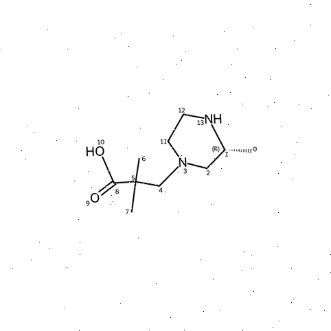 C[C@@H]1CN(CC(C)(C)C(=O)O)CCN1